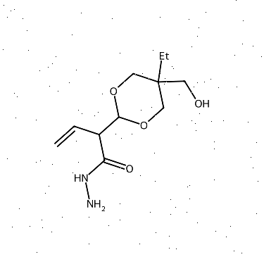 C=CC(C(=O)NN)C1OCC(CC)(CO)CO1